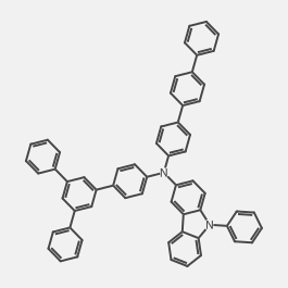 c1ccc(-c2ccc(-c3ccc(N(c4ccc(-c5cc(-c6ccccc6)cc(-c6ccccc6)c5)cc4)c4ccc5c(c4)c4ccccc4n5-c4ccccc4)cc3)cc2)cc1